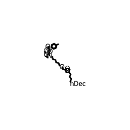 CCCCCCCCCCCCCCC1COC(COCCCCCCN2C=CN(C)C2OS(=O)(=O)c2ccc(C)cc2)C1